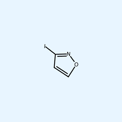 Ic1ccon1